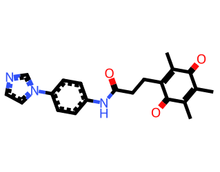 CC1=C(C)C(=O)C(CCC(=O)Nc2ccc(-n3ccnc3)cc2)=C(C)C1=O